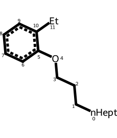 CCCCCCCCCCOc1ccccc1CC